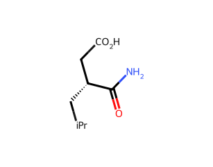 CC(C)C[C@H](CC(=O)O)C(N)=O